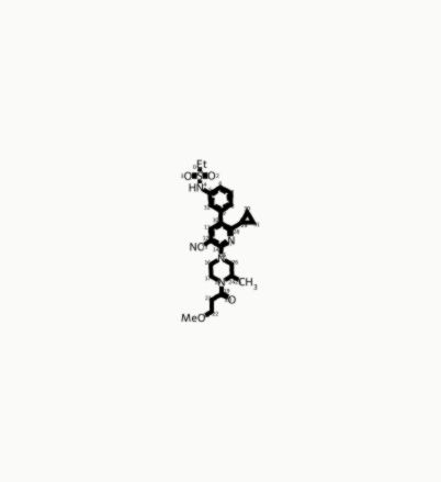 CCS(=O)(=O)Nc1cccc(-c2cc(C#N)c(N3CCN(C(=O)CCOC)C(C)C3)nc2C2CC2)c1